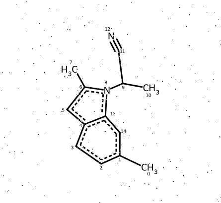 Cc1ccc2cc(C)n(C(C)C#N)c2c1